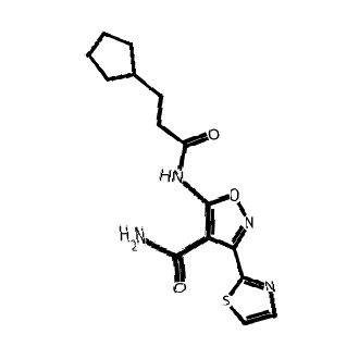 NC(=O)c1c(-c2nccs2)noc1NC(=O)CCC1CCCC1